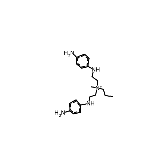 CCC[N+](C)(CCNc1ccc(N)cc1)CCNc1ccc(N)cc1